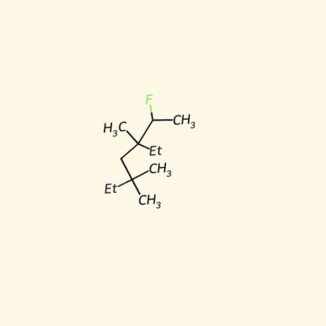 CCC(C)(C)CC(C)(CC)C(C)F